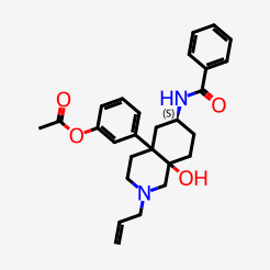 C=CCN1CCC2(c3cccc(OC(C)=O)c3)C[C@@H](NC(=O)c3ccccc3)CCC2(O)C1